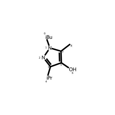 CCC(C)n1nc(C(C)C)c(O)c1C